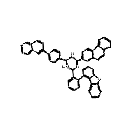 c1ccc(C2N=C(c3ccc4c(ccc5ccccc54)c3)NC(c3ccc(-c4ccc5ccccc5c4)cc3)N2)c(-c2cccc3oc4ccccc4c23)c1